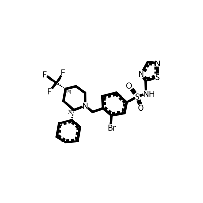 O=S(=O)(Nc1ncns1)c1ccc(CN2CC[C@@H](C(F)(F)F)C[C@H]2c2ccccc2)c(Br)c1